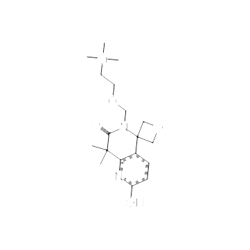 CC1(C)C(=O)N(COCC[Si](C)(C)C)C2(COC2)c2ccc(O)nc21